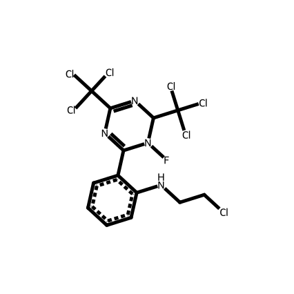 FN1C(c2ccccc2NCCCl)=NC(C(Cl)(Cl)Cl)=NC1C(Cl)(Cl)Cl